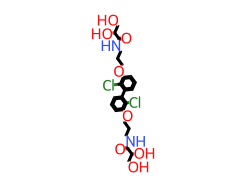 O=C(NCCCOc1cccc(-c2cccc(OCCCNC(=O)C(O)CO)c2Cl)c1Cl)C(O)CO